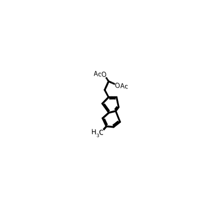 CC(=O)OC(Cc1ccc2ccc(C)cc2c1)OC(C)=O